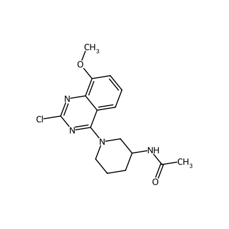 COc1cccc2c(N3CCCC(NC(C)=O)C3)nc(Cl)nc12